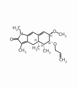 C=CCO[C@H]1[C@H](OC)C=C2C=C3C(=C(C)C(=O)N3C)C[C@]2(C)[C@H]1C